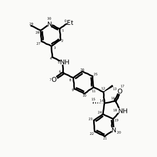 CCc1cc(CNC(=O)c2ccc([C@@H](C)[C@@]3(C)C(=O)Nc4ncccc43)cc2)cc(C)n1